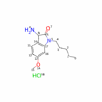 CCCCCN1C(=O)C(N)c2ccc(OC)cc21.Cl